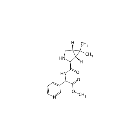 COC(=O)C(NC(=O)[C@H]1NC[C@H]2[C@@H]1C2(C)C)c1cccnc1